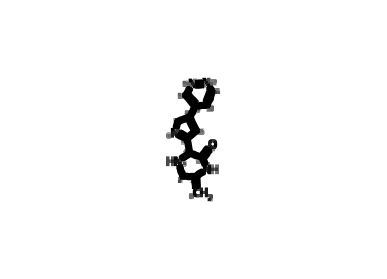 C=C1CNC(C2=NCC(c3ccnnc3)=C2)C(=O)N1